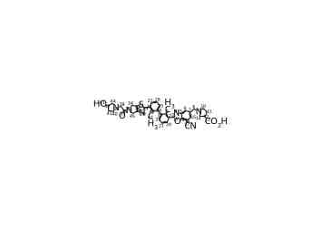 Cc1c(-c2nc3cc(CN4CCC(C(=O)O)C4)cc(C#N)c3o2)cccc1-c1cccc(-c2nc3c(s2)CN(C(=O)CN2CCC(O)C2)C3)c1C